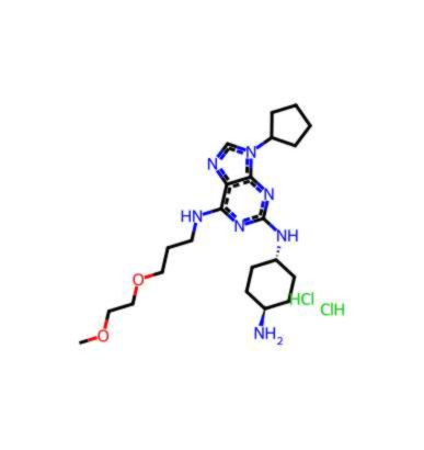 COCCOCCCNc1nc(N[C@H]2CC[C@H](N)CC2)nc2c1ncn2C1CCCC1.Cl.Cl